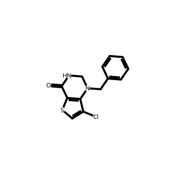 O=C1NCN(Cc2ccccc2)c2c(Cl)csc21